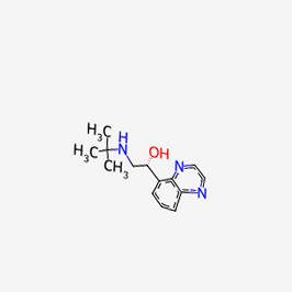 CC(C)(C)NC[C@H](O)c1cccc2nccnc12